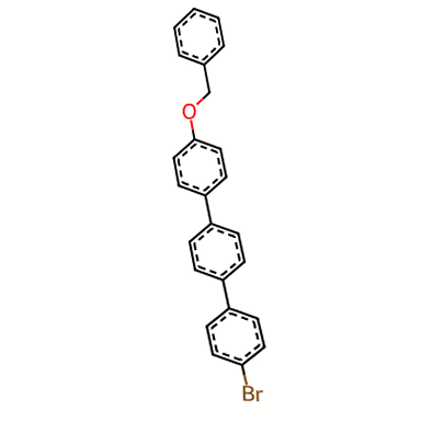 Brc1ccc(-c2ccc(-c3ccc(OCc4ccccc4)cc3)cc2)cc1